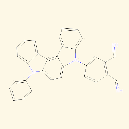 N=Cc1ccc(-n2c3ccccc3c3c4c5ccccc5n(-c5ccccc5)c4ccc32)cc1C=N